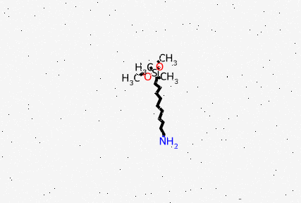 CCO[Si](C)(OCC)C(C)CCCCCCCCCCN